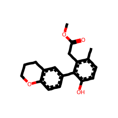 COC(=O)Cc1c(C)ccc(O)c1-c1ccc2c(c1)CCCO2